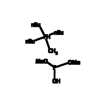 CCCC[PH](C)(CCCC)CCCC.COP(O)OC